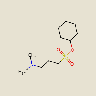 CN(C)CCCS(=O)(=O)OC1CCCCC1